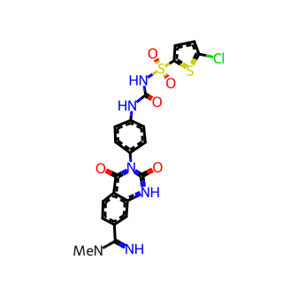 CNC(=N)c1ccc2c(=O)n(-c3ccc(NC(=O)NS(=O)(=O)c4ccc(Cl)s4)cc3)c(=O)[nH]c2c1